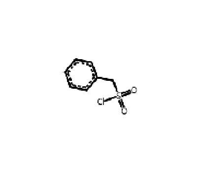 O=S(=O)(Cl)Cc1cc[c]cc1